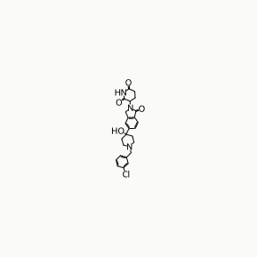 O=C1CCC(N2Cc3cc(C4(O)CCN(Cc5cccc(Cl)c5)CC4)ccc3C2=O)C(=O)N1